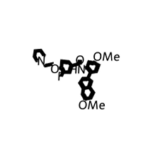 COc1ccc(-c2ccc3cc(OC)ccc3c2)c(NC(=O)c2ccc(OCCN3CCCCC3)c(F)c2)c1